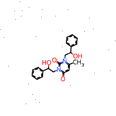 Cc1cc(=O)n(CC(O)c2ccccc2)c(=O)n1CC(O)c1ccccc1